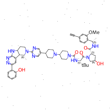 C#Cc1ccc([C@H](C)NC(=O)[C@@H]2C[C@@H](O)CN2C(=O)[C@@H](NC(=O)N2CCC(N3CCC(c4cnc(N5CCC6Nc7nnc(-c8ccccc8O)cc7C6[C@H]5C)nc4)CC3)CC2)C(C)(C)C)c(OC)c1